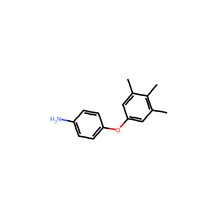 Cc1cc(Oc2ccc(N)cc2)cc(C)c1C